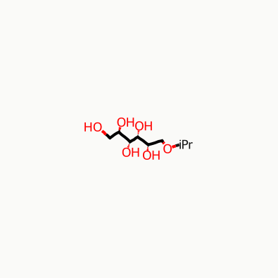 CC(C)OC[C@H](O)[C@@H](O)[C@H](O)[C@H](O)CO